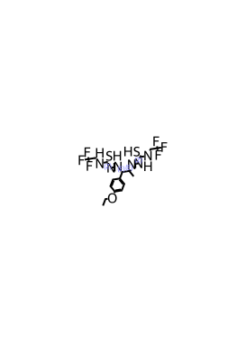 CCOc1ccc(C(=N\N=C(/S)NCC(F)(F)F)/C(C)=N/N=C(\S)NCC(F)(F)F)cc1